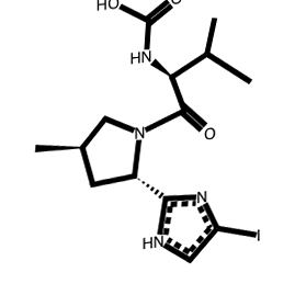 CC(C)[C@H](NC(=O)O)C(=O)N1C[C@H](C)C[C@H]1c1nc(I)c[nH]1